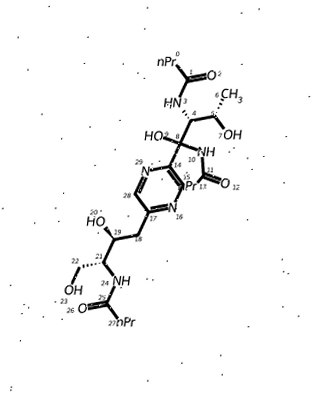 CCCC(=O)N[C@H]([C@H](C)O)C(O)(NC(=O)CCC)c1cnc(C[C@H](O)[C@@H](CO)NC(=O)CCC)cn1